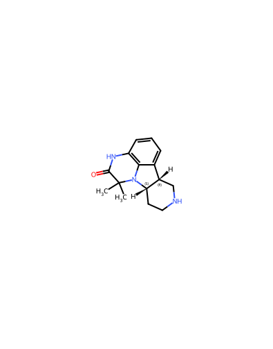 CC1(C)C(=O)Nc2cccc3c2N1[C@H]1CCNC[C@@H]31